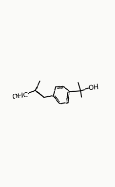 CC(C=O)Cc1ccc(C(C)(C)O)cc1